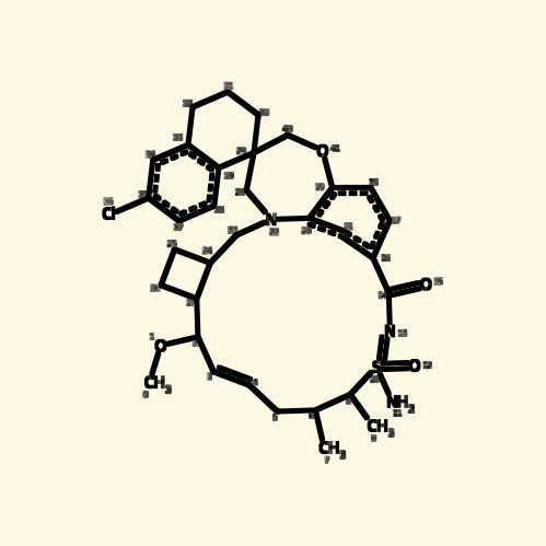 COC1/C=C/CC(C)C(C)S(N)(=O)=NC(=O)c2ccc3c(c2)N(CC2CCC21)CC1(CCCc2cc(Cl)ccc21)CO3